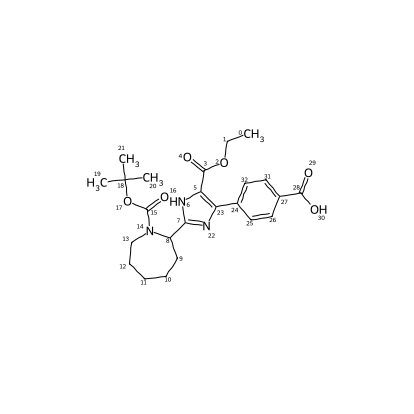 CCOC(=O)c1[nH]c(C2CCCCCN2C(=O)OC(C)(C)C)nc1-c1ccc(C(=O)O)cc1